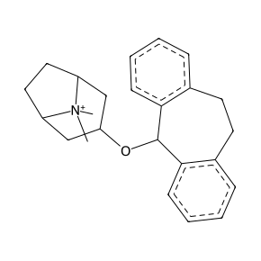 C[N+]1(C)C2CCC1CC(OC1c3ccccc3CCc3ccccc31)C2